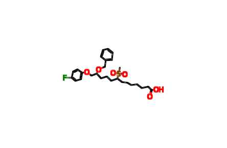 CS(=O)(=O)C(CCCCCCC(=O)O)CCCC(COc1ccc(F)cc1)OCc1ccccc1